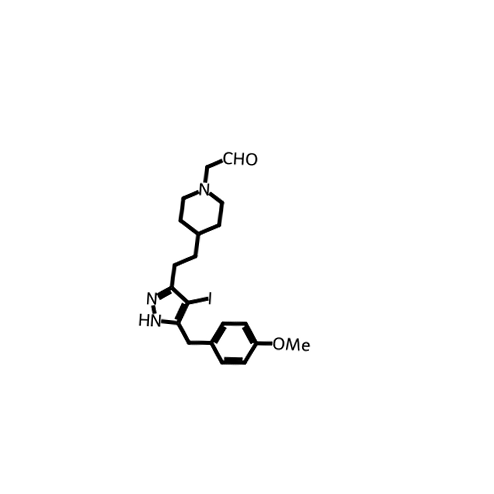 COc1ccc(Cc2[nH]nc(CCC3CCN(CC=O)CC3)c2I)cc1